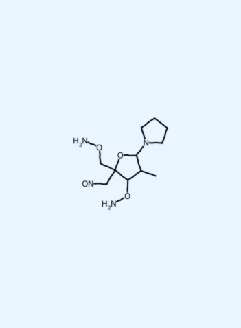 CC1C(N2CCCC2)OC(CN=O)(CON)C1ON